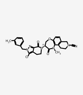 Cc1cccc(Cn2nc3c(c2Cl)CCN([C@H]2COc4ccc5c(c4N(C)C2=O)CCN(C#N)C5)C3=O)c1